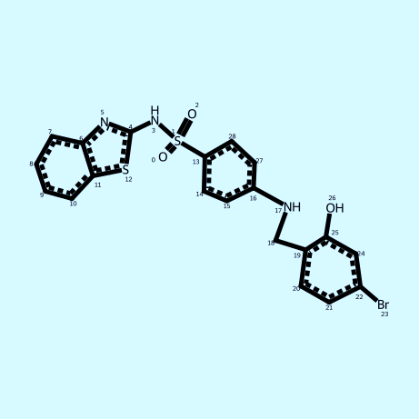 O=S(=O)(Nc1nc2ccccc2s1)c1ccc(NCc2ccc(Br)cc2O)cc1